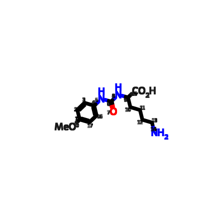 COc1ccc(NC(=O)NC(CCCCN)C(=O)O)cc1